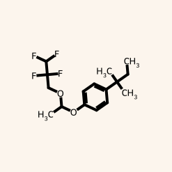 CCC(C)(C)c1ccc(OC(C)OCC(F)(F)C(F)F)cc1